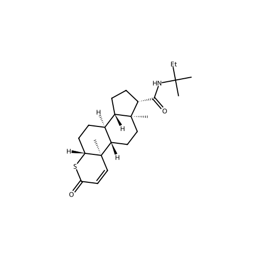 CCC(C)(C)NC(=O)[C@H]1CC[C@H]2[C@@H]3CC[C@H]4SC(=O)C=C[C@]4(C)[C@H]3CC[C@]12C